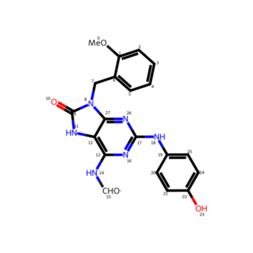 COc1ccccc1Cn1c(=O)[nH]c2c(N[C]=O)nc(Nc3ccc(O)cc3)nc21